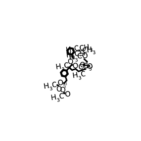 CC(=O)OC[C@@H](Cc1cccc([C@@](C)(CCCC(C)(C)CS(=O)(=O)CCO[Si](C)(C)C(C)(C)C)C(=O)OCc2ccccc2)c1)OC(C)=O